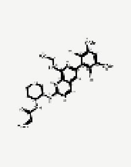 C=CC(=O)N[C@H]1CCOC[C@H]1Nc1ncc2cc(-c3c(F)c(OC)cc(OC)c3F)nc(NCC(F)(F)F)c2n1